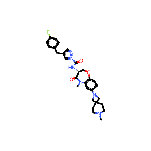 CN1CCC2(CC1)CN(c1ccc3c(c1)N(C)C(=O)[C@H](NC(=O)n1cc(Cc4ccc(F)cc4)cn1)CO3)C2